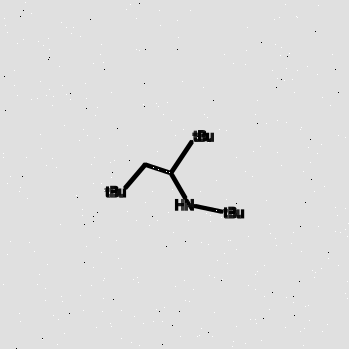 CC(C)(C)CC(NC(C)(C)C)C(C)(C)C